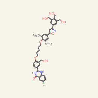 COc1cc(C2CC(c3cc(CO)c(CO)c(CO)c3)=NO2)cc(OC)c1OCCCCCOc1ccc(C2NC(=O)c3cc(Cl)ccc3N2)cc1CO